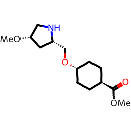 COC(=O)[C@H]1CC[C@H](OC[C@@H]2C[C@H](OC)CN2)CC1